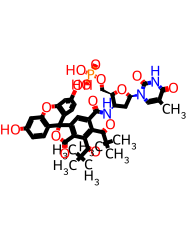 Cc1cn([C@H]2C[C@H](NC(=O)c3cc4c(c(C(=O)C(C)(C)C)c3C(=O)C(C)(C)C)C(=O)OC43c4ccc(O)cc4Oc4cc(O)ccc43)[C@@H](COP(=O)(O)O)O2)c(=O)[nH]c1=O